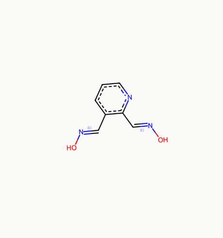 O/N=C/c1cccnc1/C=N/O